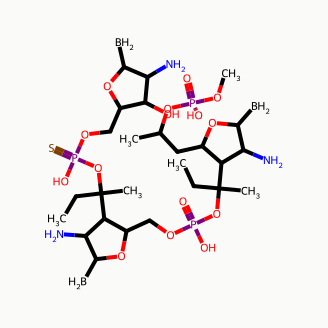 BC1OC(COP(O)(=S)OC(C)(CC)C2C(COP(=O)(O)OC(C)(CC)C3C(CC(C)OP(=O)(O)OC)OC(B)C3N)OC(B)C2N)C(O)C1N